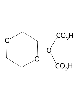 C1COCCO1.O=C(O)OC(=O)O